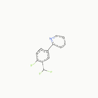 Fc1ccc(-c2[c]cccn2)cc1C(F)F